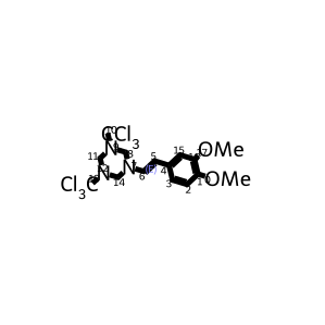 COc1ccc(/C=C/N2CN(C(Cl)(Cl)Cl)CN(C(Cl)(Cl)Cl)C2)cc1OC